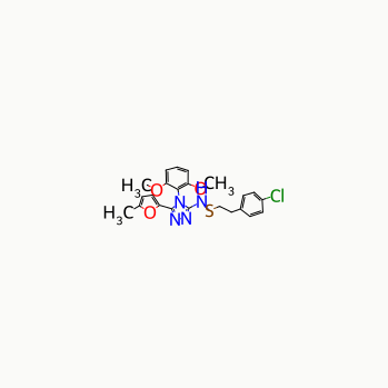 COc1cccc(OC)c1-n1c(NSCCc2ccc(Cl)cc2)nnc1-c1ccc(C)o1